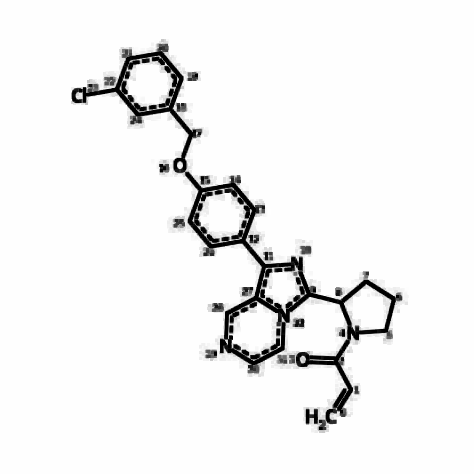 C=CC(=O)N1CCCC1c1nc(-c2ccc(OCc3cccc(Cl)c3)cc2)c2cnccn12